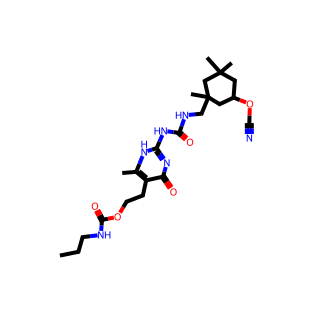 CCCNC(=O)OCCc1c(C)[nH]c(NC(=O)NCC2(C)CC(OC#N)CC(C)(C)C2)nc1=O